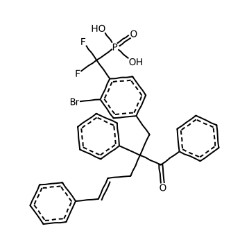 O=C(c1ccccc1)C(C/C=C/c1ccccc1)(Cc1ccc(C(F)(F)P(=O)(O)O)c(Br)c1)c1ccccc1